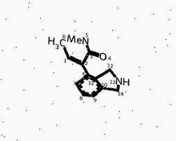 CC=C(C(=O)NC)c1cccc2c1CNC2